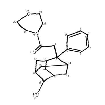 O=C(CC1(c2ccccc2)C2CC3CC1CC(C2)C3O)N1CCOCC1